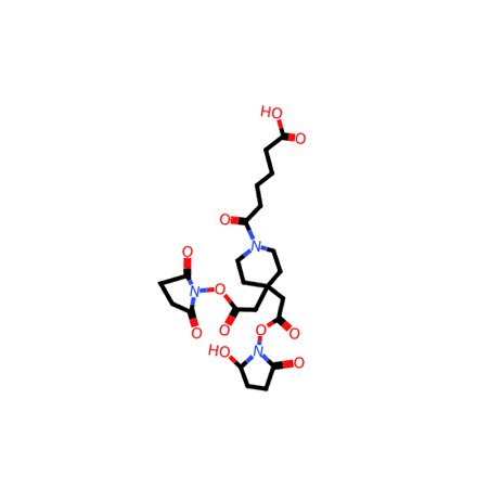 O=C(O)CCCCC(=O)N1CCC(CC(=O)ON2C(=O)CCC2=O)(CC(=O)ON2C(=O)CCC2O)CC1